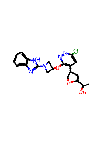 CC(O)C1CC(c2cc(Cl)nnc2OC2CN(c3nc4ccccc4[nH]3)C2)CO1